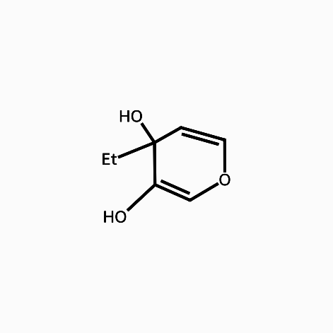 CCC1(O)C=COC=C1O